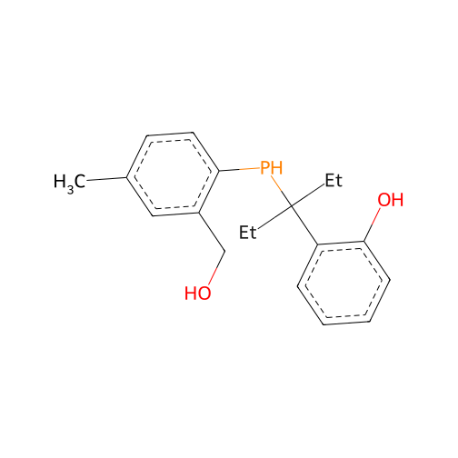 CCC(CC)(Pc1ccc(C)cc1CO)c1ccccc1O